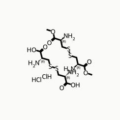 COC(=O)[C@@H](N)CSSC[C@H](N)C(=O)OC.Cl.Cl.N[C@@H](CSSC[C@H](N)C(=O)O)C(=O)O